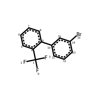 FC(F)(F)c1ccccc1-c1cc[c]c(Br)c1